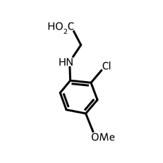 COc1ccc(NCC(=O)O)c(Cl)c1